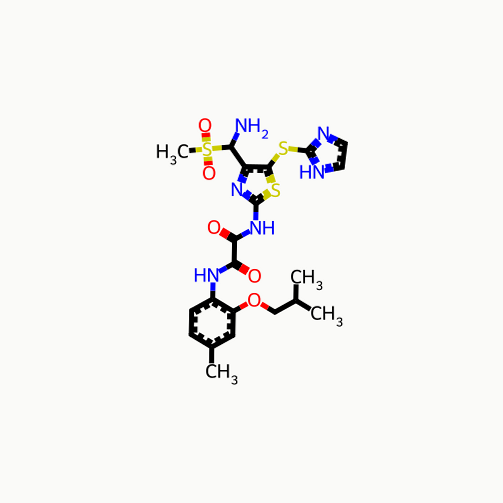 Cc1ccc(NC(=O)C(=O)Nc2nc(C(N)S(C)(=O)=O)c(Sc3ncc[nH]3)s2)c(OCC(C)C)c1